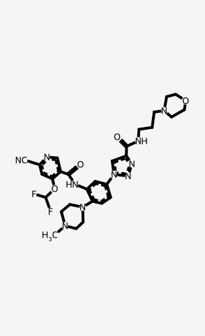 CN1CCN(c2ccc(-n3cc(C(=O)NCCCN4CCOCC4)nn3)cc2NC(=O)c2cnc(C#N)cc2OC(F)F)CC1